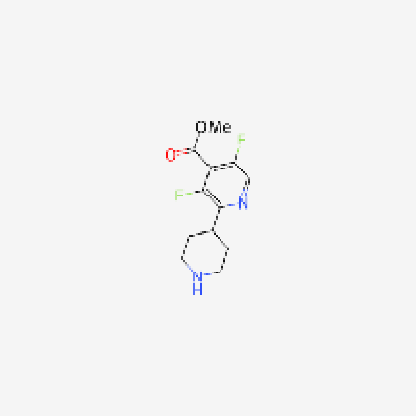 COC(=O)c1c(F)cnc(C2CCNCC2)c1F